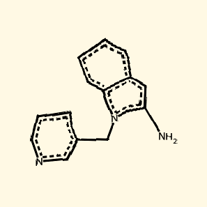 Nc1cc2ccccc2n1Cc1cccnc1